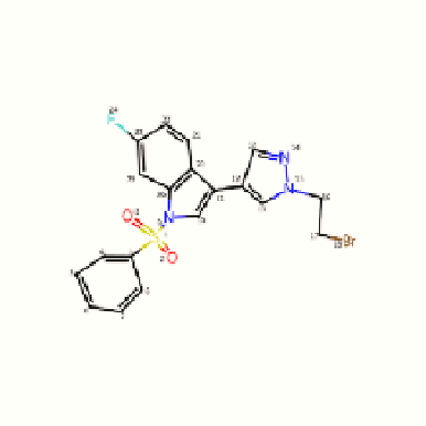 O=S(=O)(c1ccccc1)n1cc(-c2cnn(CCBr)c2)c2ccc(F)cc21